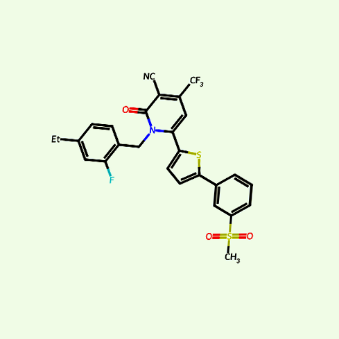 CCc1ccc(Cn2c(-c3ccc(-c4cccc(S(C)(=O)=O)c4)s3)cc(C(F)(F)F)c(C#N)c2=O)c(F)c1